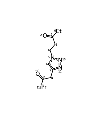 CCC(=O)CCn1cc(CC(=O)C(C)C)nn1